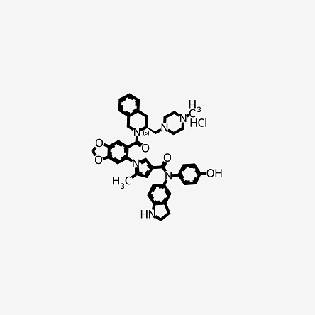 Cc1cc(C(=O)N(c2ccc(O)cc2)c2ccc3c(c2)CCN3)cn1-c1cc2c(cc1C(=O)N1Cc3ccccc3C[C@H]1CN1CCN(C)CC1)OCO2.Cl